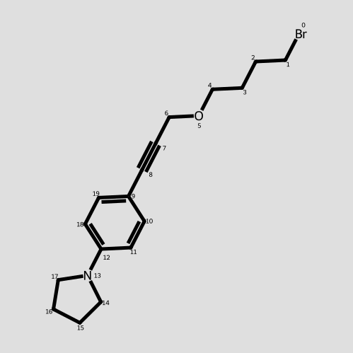 BrCCCCOCC#Cc1ccc(N2CCCC2)cc1